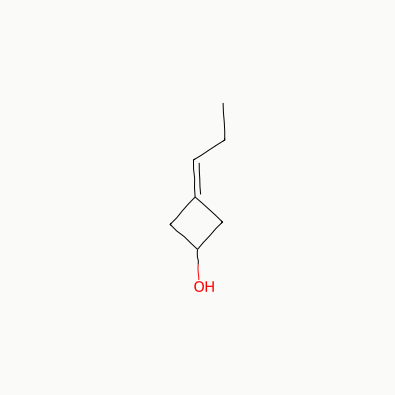 CCC=C1CC(O)C1